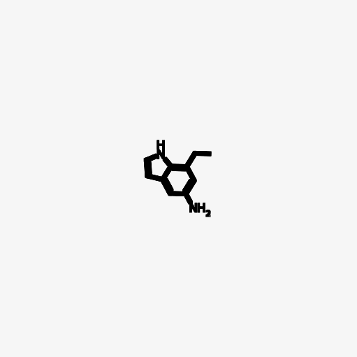 CCc1cc(N)cc2cc[nH]c12